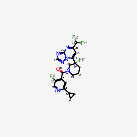 O=C(c1cc(C2CC2)ncc1F)N1CCC[C@](F)(c2cc(C(F)F)nc3ncnn23)C1